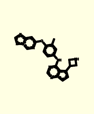 Cc1cc(Nc2ncnn3ccc(C4CNC4)c23)ccc1Oc1cc2ncnn2cn1